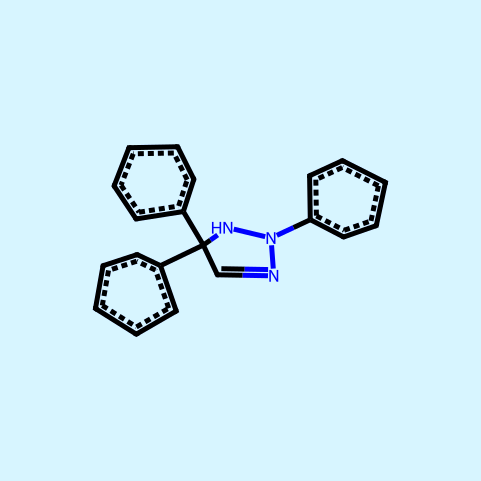 C1=NN(c2ccccc2)NC1(c1ccccc1)c1ccccc1